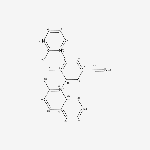 Cc1c(-[n+]2cccnc2C)cc(C#N)cc1-[n+]1c(C)ccc2ccccc21